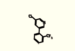 FC(F)(F)c1c[c]ccc1-c1cncc(Cl)c1